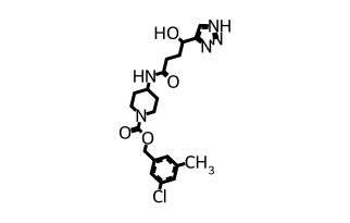 Cc1cc(Cl)cc(COC(=O)N2CCC(NC(=O)CCC(O)c3c[nH]nn3)CC2)c1